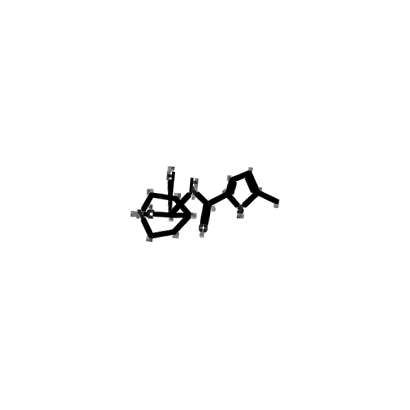 Cc1ccc(C(=O)N[C@H]2CN3CCC2CC3)s1